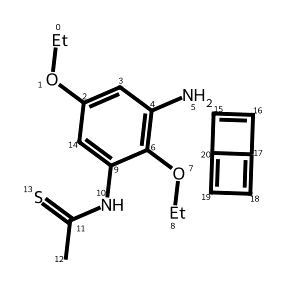 CCOc1cc(N)c(OCC)c(NC(C)=S)c1.c1cc2ccc1-2